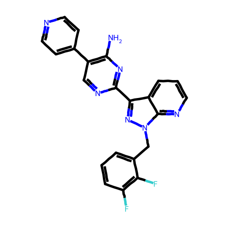 Nc1nc(-c2nn(Cc3cccc(F)c3F)c3ncccc23)ncc1-c1ccncc1